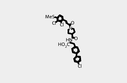 CSc1ccc(C=CC(=O)N2CCC(C(=O)NC(Cc3ccc(-c4ccc(Cl)cc4)cc3)C(=O)O)CC2)c(Cl)c1Cl